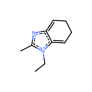 CCn1c(C)nc2c1=CCCC=2